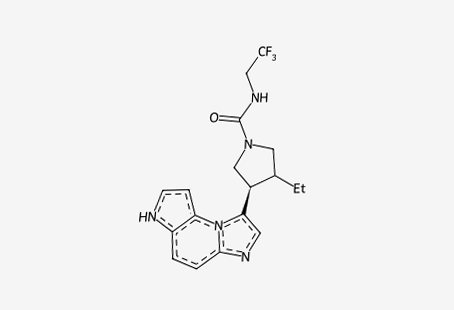 CCC1CN(C(=O)NCC(F)(F)F)C[C@@H]1c1cnc2ccc3[nH]ccc3n12